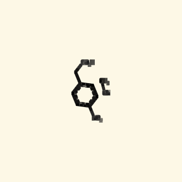 CC#N.O=C(O)Cc1ccc([N+](=O)[O-])cc1